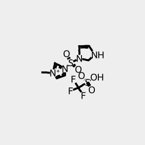 C[n+]1ccn(S(=O)(=O)N2C=CNC2)c1.O=S(=O)(O)C(F)(F)F